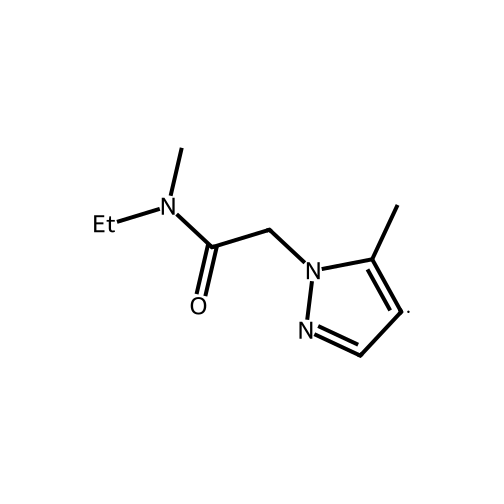 CCN(C)C(=O)Cn1nc[c]c1C